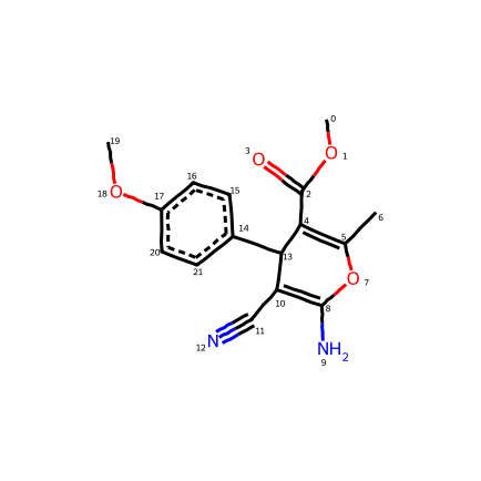 COC(=O)C1=C(C)OC(N)=C(C#N)C1c1ccc(OC)cc1